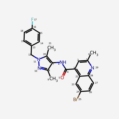 Cc1cc(C(=O)Nc2c(C)nn(Cc3ccc(F)cc3)c2C)c2cc(Br)ccc2n1